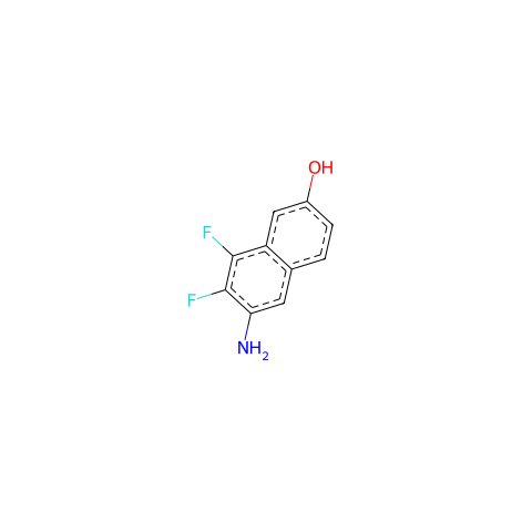 Nc1cc2ccc(O)cc2c(F)c1F